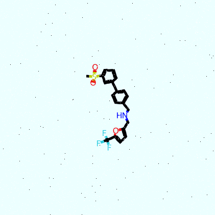 CS(=O)(=O)c1cccc(-c2ccc(CNCc3ccc(C(F)(F)F)o3)cc2)c1